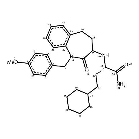 COc1ccc(CN2C(=O)C(N[C@@H](CCC3CCCCC3)C(N)=O)CCc3ccccc32)cc1